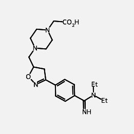 CCN(CC)C(=N)c1ccc(C2=NOC(CN3CCN(CC(=O)O)CC3)C2)cc1